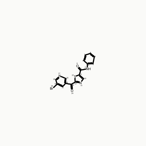 O=C(Nc1ccccc1)c1cnc(C(=O)c2cncc(Br)c2)s1